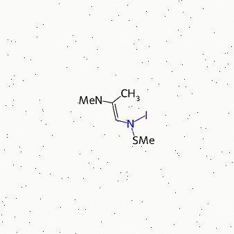 CN/C(C)=C/N(I)SC